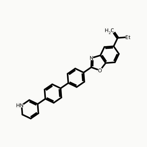 C=C(CC)c1ccc2oc(-c3ccc(-c4ccc(C5=CNCC=C5)cc4)cc3)nc2c1